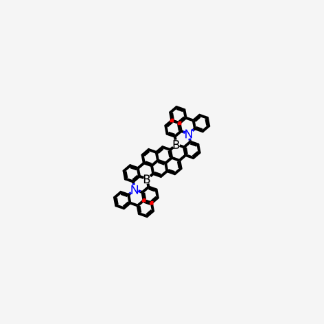 c1ccc(-c2ccccc2N2c3ccccc3B3c4c(cccc42)-c2ccc4cc5c6c(ccc7cc3c2c4c76)-c2cccc3c2B5c2ccccc2N3c2ccccc2-c2ccccc2)cc1